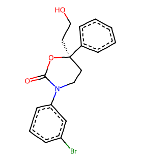 O=C1O[C@@](CCO)(c2ccccc2)CCN1c1cccc(Br)c1